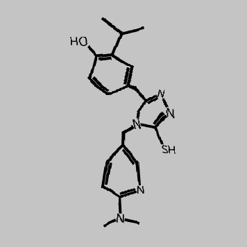 CC(C)c1cc(-c2nnc(S)n2Cc2ccc(N(C)C)nc2)ccc1O